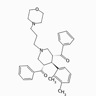 Cc1cccc([C@@H]2[C@@H](C(=O)c3ccccc3)CN(CCCN3CCOCC3)C[C@H]2C(=O)c2ccccc2)c1C